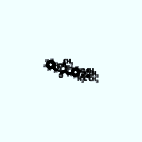 CB(O)NC(Cc1ccc(O[Si](C)(C)C(C)(C)C)cc1)C(=O)OCc1ccccc1